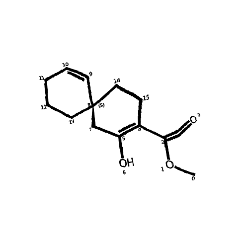 COC(=O)C1=C(O)C[C@@]2(C=CCCC2)CC1